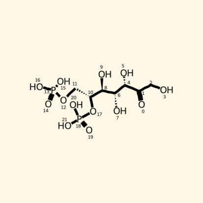 O=C(CO)[C@@H](O)[C@H](O)[C@H](O)[C@@H](COP(=O)(O)O)OP(=O)(O)O